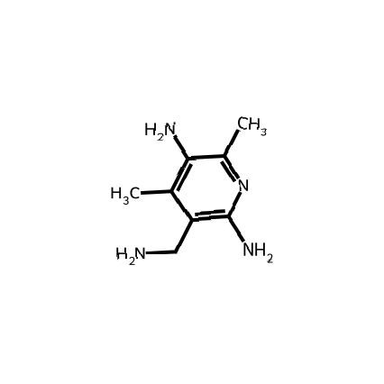 Cc1nc(N)c(CN)c(C)c1N